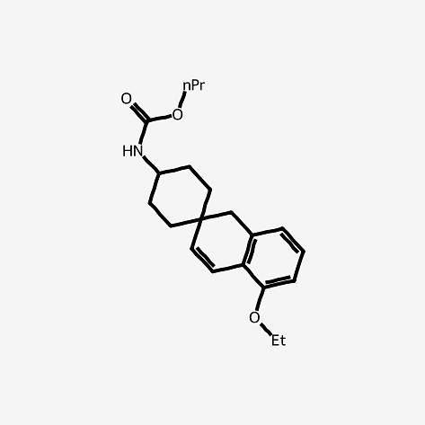 CCCOC(=O)NC1CCC2(C=Cc3c(cccc3OCC)C2)CC1